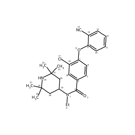 CCN(C(=O)c1ccc(Oc2ccccc2C#N)c(Cl)c1)C1CC(C)(C)NC(C)(C)C1